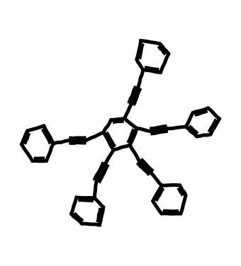 C(#Cc1cc(C#Cc2ccccc2)c(C#Cc2ccccc2)c(C#Cc2ccccc2)c1C#Cc1ccccc1)c1ccccc1